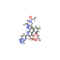 C=CC(=O)N1Cc2cc(-c3nc(-c4ccc5nncn5c4)c4ccsc4c3-c3c(F)cc(F)cc3OC[C@@H](C)O)nn2[C@@H](C)C1